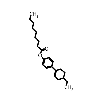 CCCCCCCCC(=O)Oc1ccc(C2=CCC(CC)CC2)cc1